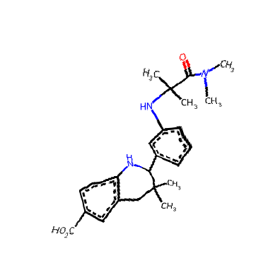 CN(C)C(=O)C(C)(C)Nc1cccc(C2Nc3ccc(C(=O)O)cc3CC2(C)C)c1